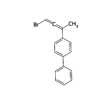 CC(=C=CBr)c1ccc(-c2ccccc2)cc1